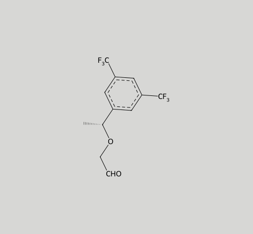 C[C@@H](OCC=O)c1cc(C(F)(F)F)cc(C(F)(F)F)c1